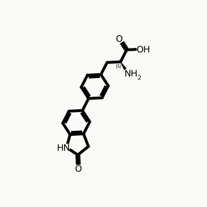 N[C@@H](Cc1ccc(-c2ccc3c(c2)CC(=O)N3)cc1)C(=O)O